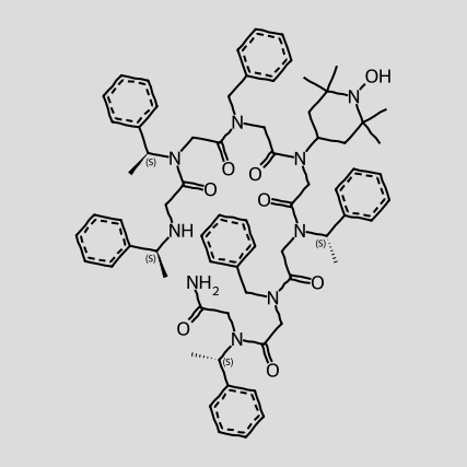 C[C@H](NCC(=O)N(CC(=O)N(CC(=O)N(CC(=O)N(CC(=O)N(CC(=O)N(CC(N)=O)[C@@H](C)c1ccccc1)Cc1ccccc1)[C@@H](C)c1ccccc1)C1CC(C)(C)N(O)C(C)(C)C1)Cc1ccccc1)[C@@H](C)c1ccccc1)c1ccccc1